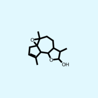 CC1=CCC23OC2(C)CCC2C(C)C(O)OC2C13